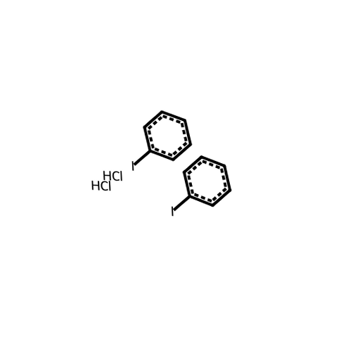 Cl.Cl.Ic1ccccc1.Ic1ccccc1